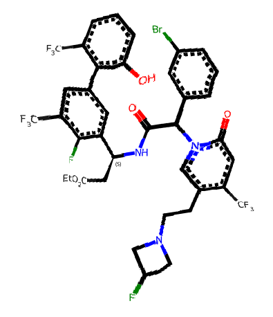 CCOC(=O)C[C@H](NC(=O)C(c1cccc(Br)c1)n1cc(CCN2CC(F)C2)c(C(F)(F)F)cc1=O)c1cc(-c2c(O)cccc2C(F)(F)F)cc(C(F)(F)F)c1F